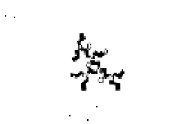 C=CCN(CC=C)C(=O)CN(CC=O)CCN(CC(=O)N(CC=C)CC=C)CC(=O)N(CC=C)CC=C